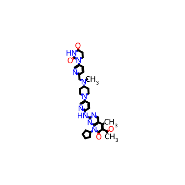 CC(=O)c1c(C)c2cnc(Nc3ccc(N4CCC(N(C)Cc5ccc(N6CCC(=O)NC6=O)cn5)CC4)cn3)nc2n(C2CCCC2)c1=O